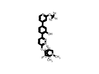 [2H]C([2H])([2H])Oc1cc(-c2ccc(-c3ccc(O[C@@H]4[C@H]5CN(C)[C@](C)(C5)[C@@H]4F)nn3)c(O)c2)ccn1